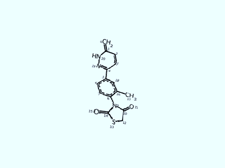 C=C1C=CC(c2ccc(N3C(=O)CSC3=O)c(C)c2)=NN1